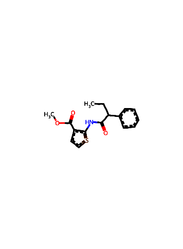 CCC(C(=O)Nc1sccc1C(=O)OC)c1ccccc1